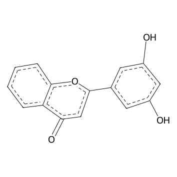 O=c1cc(-c2cc(O)cc(O)c2)oc2ccccc12